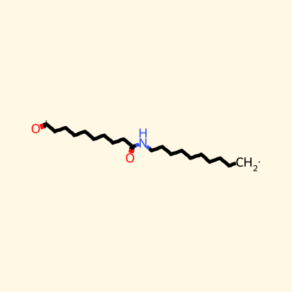 [CH2]CCCCCCCCCNC(=O)CCCCCCCC[C]=O